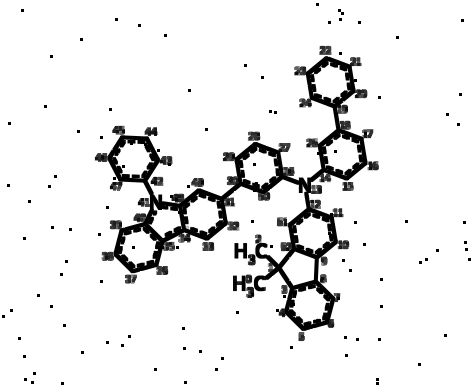 CC1(C)c2ccccc2-c2ccc(N(c3cccc(-c4ccccc4)c3)c3cccc(-c4ccc5c6ccccc6n(-c6ccccc6)c5c4)c3)cc21